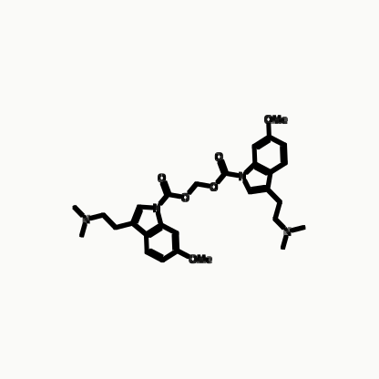 COc1ccc2c(CCN(C)C)cn(C(=O)OCOC(=O)n3cc(CCN(C)C)c4ccc(OC)cc43)c2c1